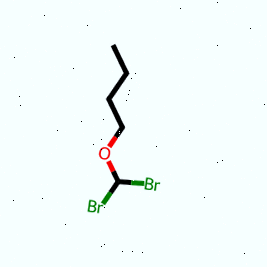 CCCCOC(Br)Br